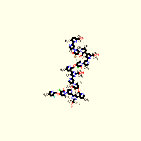 Cc1cnc(COc2cc(C)n(-c3cc(-c4nc(C(C)(C)O)nc(-c5cc(C)cnc5COc5cc(C)n(-c6cc(-c7nc(C(C)(C)O)nc(-c8cc(C)cnc8COc8cc(C)n(-c9cc(-c%10nc(C(C)(C)O)cc(-c%11cc(C)cnc%11COc%11cc(C)n(-c%12cc(-c%13nc(C(C)(C)O)ccc%13C)ncc%12C)c(=O)c%11Br)c%10C)ncc9C)c(=O)c8Cl)c7C)ncc6C)c(=O)c5Br)c4C)ncc3C)c(=O)c2Cl)c(F)c1